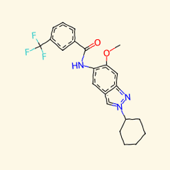 COc1cc2nn(C3CCCCC3)cc2cc1NC(=O)c1cccc(C(F)(F)F)c1